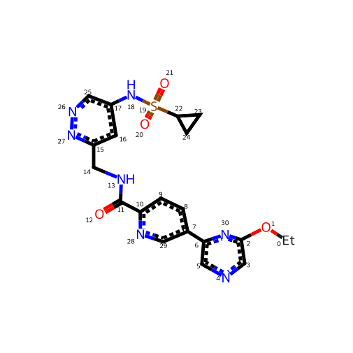 CCOc1cncc(-c2ccc(C(=O)NCc3cc(NS(=O)(=O)C4CC4)cnn3)nc2)n1